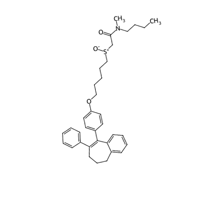 CCCCN(C)C(=O)C[S+]([O-])CCCCCOc1ccc(C2=C(c3ccccc3)CCCc3ccccc32)cc1